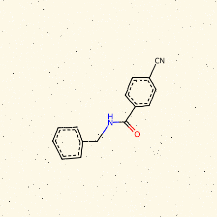 N#Cc1ccc(C(=O)NCc2ccccc2)cc1